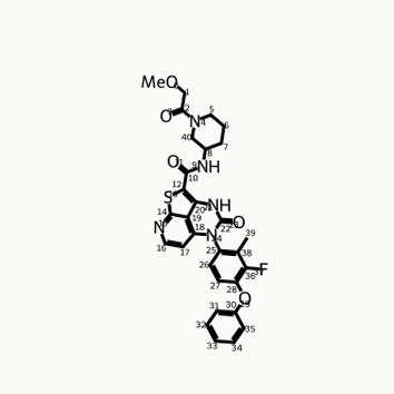 COCC(=O)N1CCCC(NC(=O)c2sc3nccc4c3c2NC(=O)N4c2ccc(Oc3ccccc3)c(F)c2C)C1